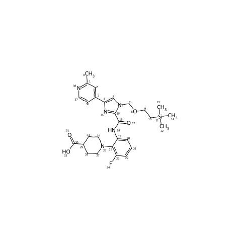 Cc1cc(-c2cn(COCC[Si](C)(C)C)c(C(=O)Nc3cccc(F)c3N3CCC(C(=O)O)CC3)n2)ccn1